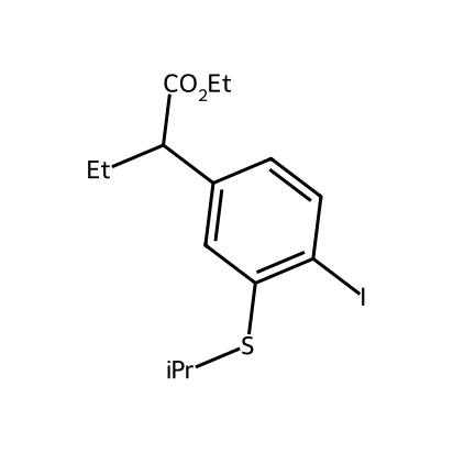 CCOC(=O)C(CC)c1ccc(I)c(SC(C)C)c1